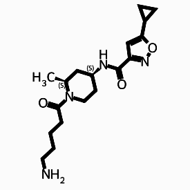 C[C@H]1C[C@@H](NC(=O)c2cc(C3CC3)on2)CCN1C(=O)CCCCN